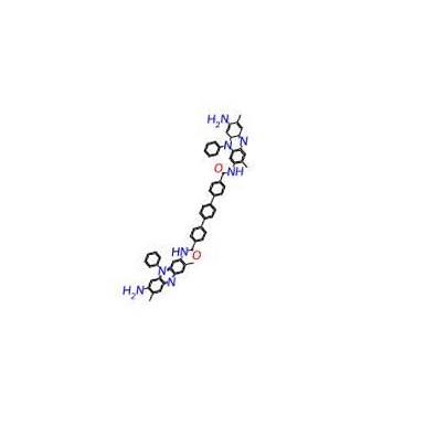 CC1=CC2=Nc3cc(C)c(NC(=O)c4ccc(-c5ccc(-c6ccc(C(=O)Nc7cc8c(cc7C)nc7cc(C)c(N)cc7[n+]8-c7ccccc7)cc6)cc5)cc4)cc3N(c3ccccc3)C2C=C1N